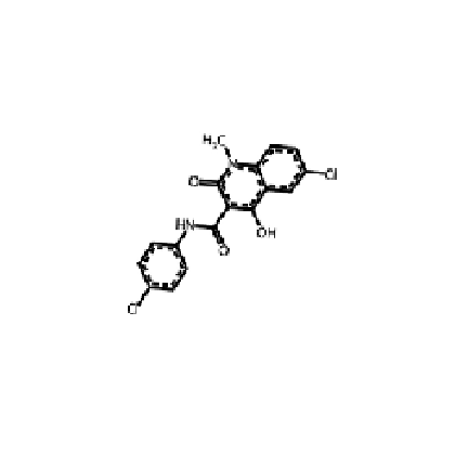 Cn1c(=O)c(C(=O)Nc2ccc(Cl)cc2)c(O)c2cc(Cl)ccc21